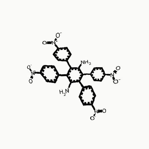 Nc1c(-c2ccc([N+](=O)[O-])cc2)c(-c2ccc([N+](=O)[O-])cc2)c(N)c(-c2ccc([N+](=O)[O-])cc2)c1-c1ccc([N+](=O)[O-])cc1